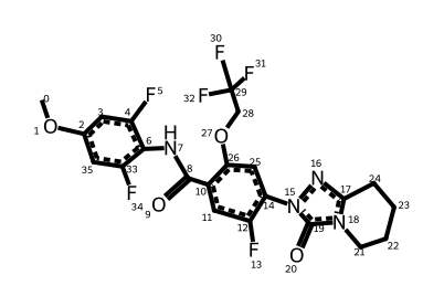 COc1cc(F)c(NC(=O)c2cc(F)c(-n3nc4n(c3=O)CCCC4)cc2OCC(F)(F)F)c(F)c1